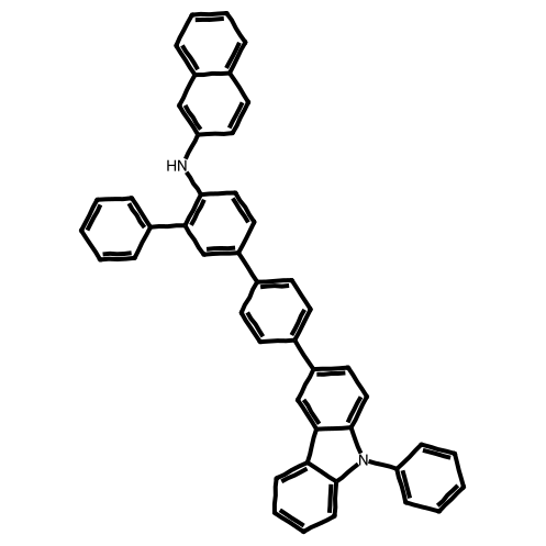 c1ccc(-c2cc(-c3ccc(-c4ccc5c(c4)c4ccccc4n5-c4ccccc4)cc3)ccc2Nc2ccc3ccccc3c2)cc1